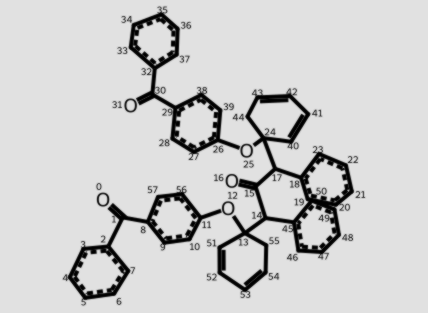 O=C(c1ccccc1)c1ccc(OC2(C(C(=O)C(c3ccccc3)C3(Oc4ccc(C(=O)c5ccccc5)cc4)C=CC=CC3)c3ccccc3)C=CC=CC2)cc1